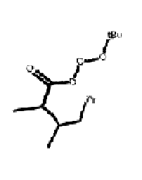 CC(C)CC(C)C(C)C(=O)OOOC(C)(C)C